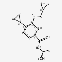 C[C@@H](C#N)NC(=O)c1ccc(C2CC2)c(OCC2CC2)n1